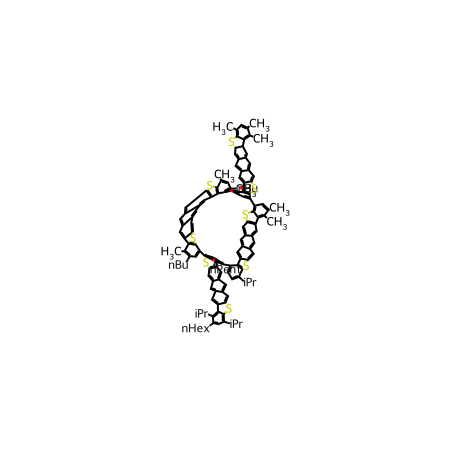 CCCCCCc1cc(C(C)C)c2sc3cc4cc5cc6c(cc5cc4cc3c2c1C(C)C)sc1c2cc(CCCCC)c(c3ccc(C(C)C)c4sc5cc7cc8cc9c(cc8cc7cc5c43)sc3c(cc(C)c(C)c93)c3cc(CCCC)c(c4c(C)cc(C)c5sc7cc8cc9cc%10c(cc9cc8cc7c54)sc4c2cc(CCCC)c(C)c%104)c2c4cc5cc7c(cc5cc4sc32)=CC2c3c(C)c(C)cc(C)c3SC2C=7)c61